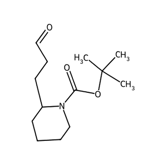 CC(C)(C)OC(=O)N1CCCCC1CCC=O